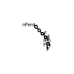 CCCCCC1CCC(C2CCC(c3ccc(-c4cc(F)c(C(F)(F)Oc5cc(F)c(CCF)c(F)c5)c(F)c4)c(F)c3)CC2)CC1